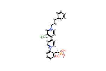 O=P(O)(O)Cc1ccccc1-[n+]1ccc(-c2cc[n+](CCCc3ccccc3)cc2)cc1.[Cl-].[Cl-]